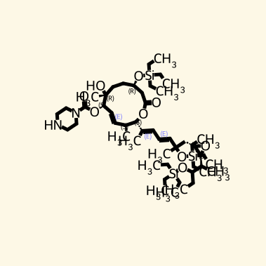 CCC(O[Si](CC)(CC)CC)C(C)[C@@H]1O[C@H]1CC(C)(/C=C/C=C(\C)[C@H]1OC(=O)C[C@H](O[Si](CC)(CC)CC)CC[C@@](C)(O)[C@@H](OC(=O)N2CCNCC2)/C=C/[C@@H]1C)O[Si](CC)(CC)CC